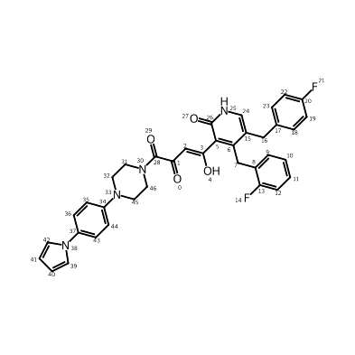 O=C(C=C(O)c1c(Cc2ccccc2F)c(Cc2ccc(F)cc2)c[nH]c1=O)C(=O)N1CCN(c2ccc(-n3cccc3)cc2)CC1